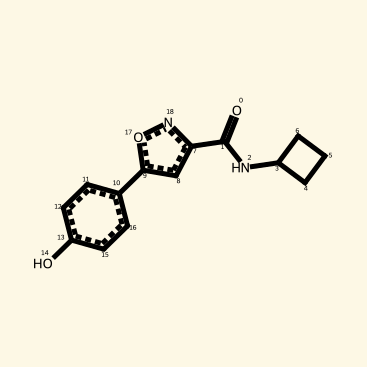 O=C(NC1CCC1)c1cc(-c2ccc(O)cc2)on1